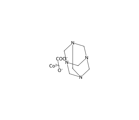 C1N2CN3CN1CN(C2)C3.O=C([O-])[O-].[Co+2]